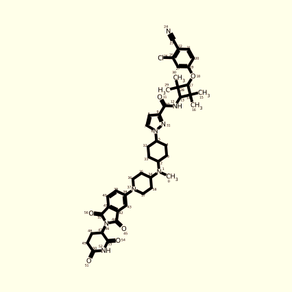 CN(C1CCC(n2ccc(C(=O)NC3C(C)(C)C(Oc4ccc(C#N)c(Cl)c4)C3(C)C)n2)CC1)C1CCN(c2ccc3c(c2)C(=O)N(C2CCC(=O)NC2=O)C3=O)CC1